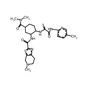 Cc1ccc(NC(=O)C(=S)NC2CCC(C(=O)N(C)C)CC2NC(=O)c2nc3c(s2)CN(C)CC3)nc1